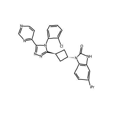 CC(C)c1ccc2c(c1)[nH]c(=O)n2[C@H]1C[C@H](c2nnc(-c3ccncn3)n2-c2ccccc2Cl)C1